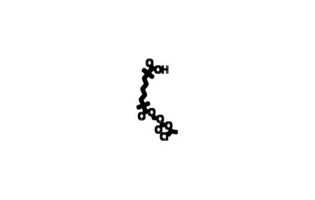 CC(Cl)OC(=O)OCOC(=O)C(C)(C)CCCCCC(C)(C)C(=O)O